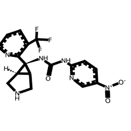 O=C(Nc1ccc([N+](=O)[O-])cn1)N[C@@]1(c2ncccc2C(F)(F)F)C2CNC[C@H]21